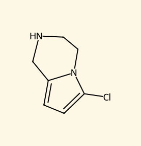 Clc1ccc2n1CCNC2